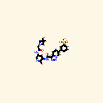 Cc1ncc(NC(=O)CN2CC(C)(C)C2)cc1NC(=O)c1nnn2cc(-c3cccc(S(C)(=O)=O)c3)ccc12